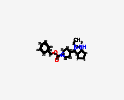 CCN1NC2CCCC2C1C1CCN(C(=O)OCc2ccccc2)CC1